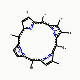 CCC1=Cc2nc1c(CC)c1c(CC)c(CC)c(c(CC)c3nc(c(CC)c4ccc([nH]4)c2CC)C=C3)n1CC.[Ni]